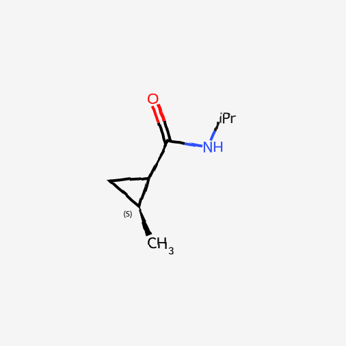 CC(C)NC(=O)C1C[C@@H]1C